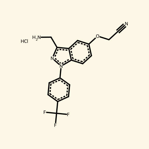 Cl.N#CCOc1ccc2c(c1)c(CN)nn2-c1ccc(C(F)(F)F)cc1